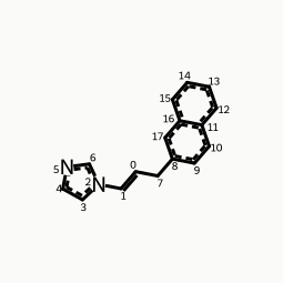 C(=C\n1ccnc1)/Cc1ccc2ccccc2c1